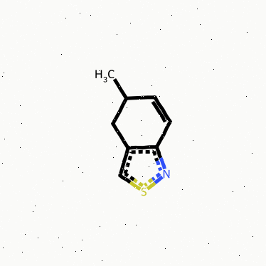 CC1C=Cc2nscc2C1